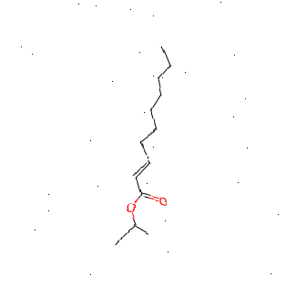 CCCCCCC/C=C/C(=O)OC(C)C